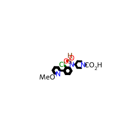 COc1cccc(-c2cccc(N(C3CCN(C(=O)O)CC3)[SH](=O)=O)c2Cl)n1